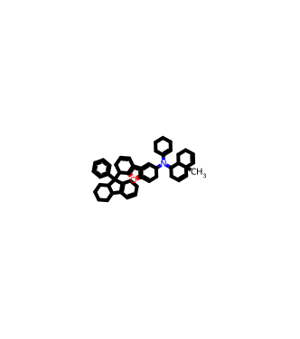 CC12C=CCCC1C(N(C1=CCCCC1)C1C=c3c4c(oc3=CC1)C(C1(c3ccccc3)C3=C(C=CCC3)C3CCCCC31)CC=C4)CC=C2